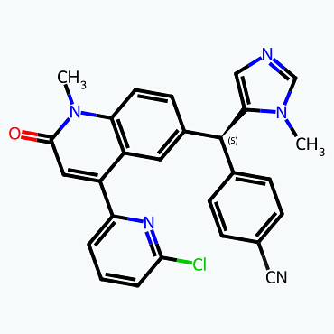 Cn1cncc1[C@@H](c1ccc(C#N)cc1)c1ccc2c(c1)c(-c1cccc(Cl)n1)cc(=O)n2C